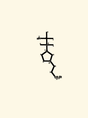 CCCC(C)(C)[Si](C)(C)N1CCN(CCC(=O)OCC)C1